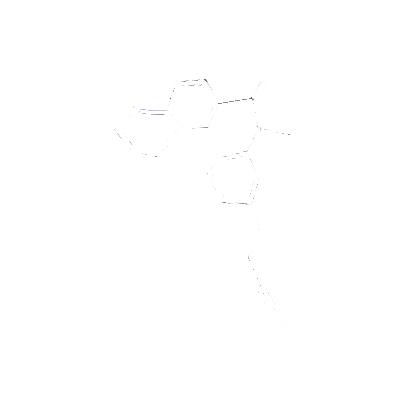 CCC#CCOc1cccc(N(C)C(=O)c2ccc3ncccc3c2)c1